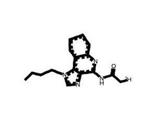 [3H]CC(=O)Nc1nc2ccccc2c2c1ncn2CCCC